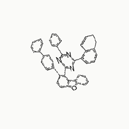 C1=Cc2c(cccc2-c2nc(-c3ccccc3)nc(-c3c(-c4ccc(-c5ccccc5)cc4)ccc4oc5ccccc5c34)n2)CC1